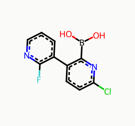 OB(O)c1nc(Cl)ccc1-c1cccnc1F